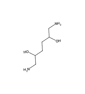 NCC(O)CCC(O)CN